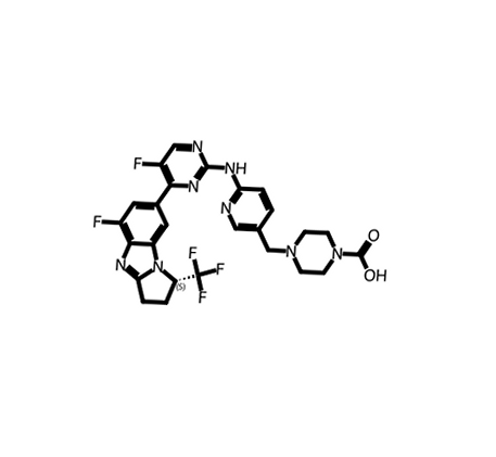 O=C(O)N1CCN(Cc2ccc(Nc3ncc(F)c(-c4cc(F)c5nc6n(c5c4)[C@H](C(F)(F)F)CC6)n3)nc2)CC1